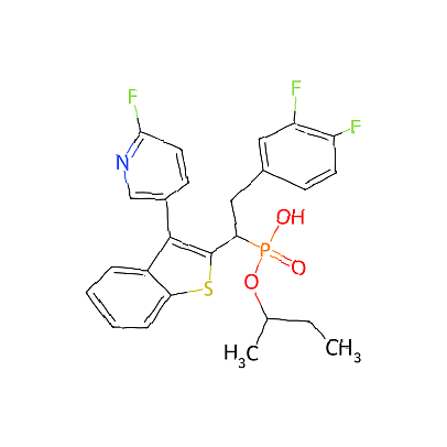 CCC(C)OP(=O)(O)C(Cc1ccc(F)c(F)c1)c1sc2ccccc2c1-c1ccc(F)nc1